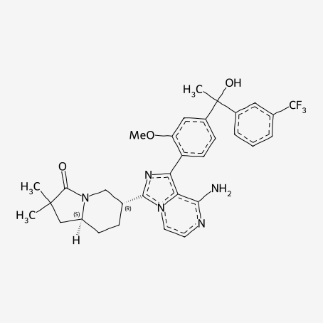 COc1cc(C(C)(O)c2cccc(C(F)(F)F)c2)ccc1-c1nc([C@@H]2CC[C@H]3CC(C)(C)C(=O)N3C2)n2ccnc(N)c12